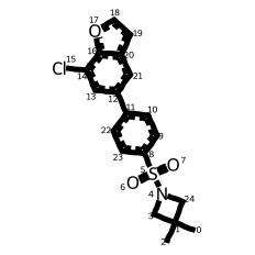 CC1(C)CN(S(=O)(=O)c2ccc(-c3cc(Cl)c4occc4c3)cc2)C1